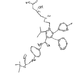 CC(C)c1c(C(=O)Nc2ccc(NC(=O)OC(C)(C)C)cc2)c(-c2ccccc2)c(-c2ccc(F)cc2)n1CC[C@@H](O)C[C@@H](O)CC(=O)O